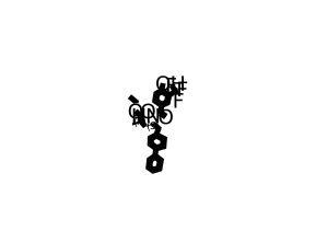 CCOC(=O)[C@H](C)C[C@@H](Cc1ccc(-c2ccccc2)cc1)NC(=O)c1ccc(O)c(C(F)(F)F)c1